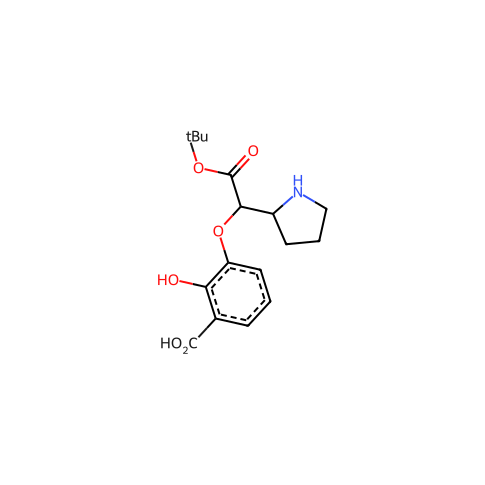 CC(C)(C)OC(=O)C(Oc1cccc(C(=O)O)c1O)C1CCCN1